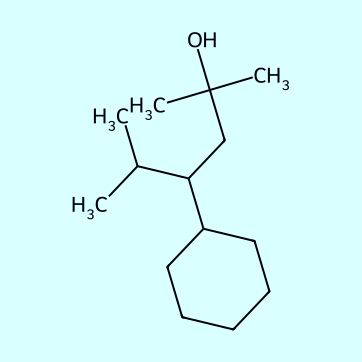 CC(C)C(CC(C)(C)O)C1CCCCC1